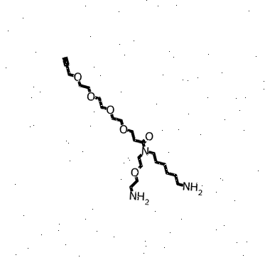 C#CCOCCOCCOCCOCCC(=O)N(CCCCCCN)CCOCCN